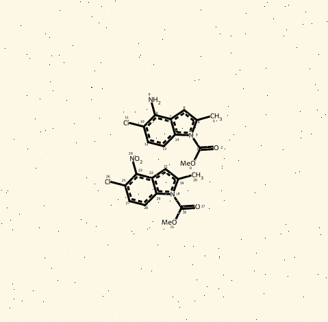 COC(=O)n1c(C)cc2c(N)c(Cl)ccc21.COC(=O)n1c(C)cc2c([N+](=O)[O-])c(Cl)ccc21